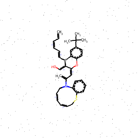 C=C/C=C\C=C\B1C(=C\O)/C(=C\C(=C)N2C/C=C\C=C/CSc3ccccc32)Oc2ccc(C(C)(C)C)cc21